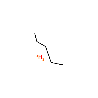 CCCCC.P